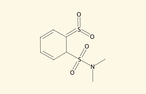 CN(C)S(=O)(=O)C1C=CC=CC1=S(=O)=O